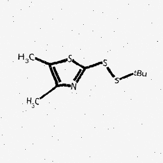 Cc1nc(SSC(C)(C)C)sc1C